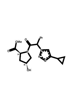 COC(=O)[C@@H]1C[C@@H](O)CN1C(=O)C(C(C)C)n1cc(C2CC2)nn1